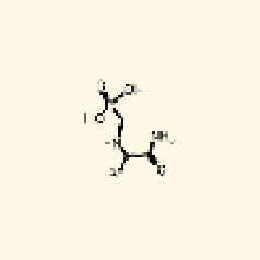 CC(C)C(NCP(=O)(O)O)C(N)=O